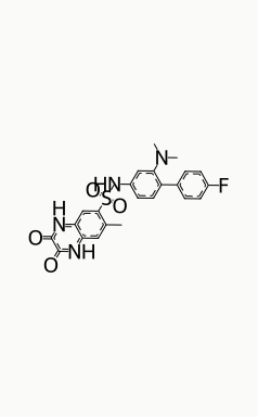 Cc1cc2[nH]c(=O)c(=O)[nH]c2cc1S(=O)(=O)Nc1ccc(-c2ccc(F)cc2)c(N(C)C)c1